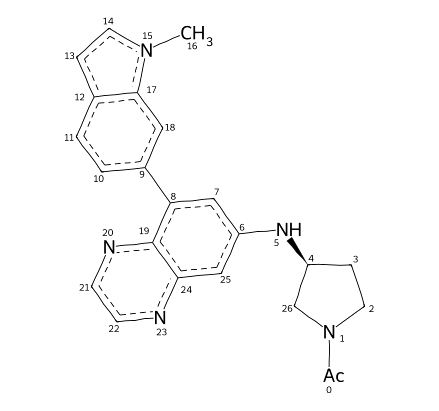 CC(=O)N1CC[C@H](Nc2cc(-c3ccc4ccn(C)c4c3)c3nccnc3c2)C1